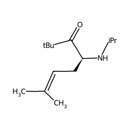 CC(C)=CC[C@H](NC(C)C)C(=O)C(C)(C)C